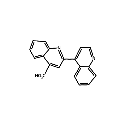 O=C(O)c1cc(-c2ccnc3ccccc23)nc2ccccc12